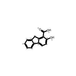 O=C(O)c1c(O)ccc2c1Cc1ccccc1-2